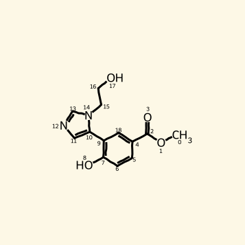 COC(=O)c1ccc(O)c(-c2cncn2CCO)c1